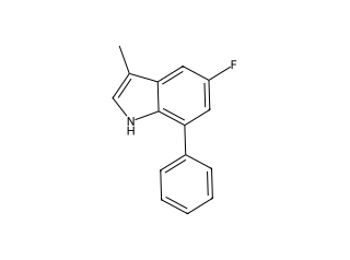 Cc1c[nH]c2c(-c3ccccc3)cc(F)cc12